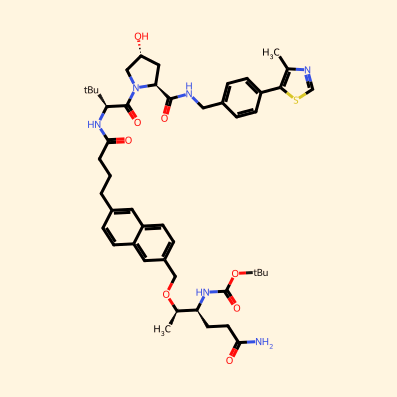 Cc1ncsc1-c1ccc(CNC(=O)[C@@H]2C[C@@H](O)CN2C(=O)[C@@H](NC(=O)CCCc2ccc3cc(CO[C@H](C)[C@H](CCC(N)=O)NC(=O)OC(C)(C)C)ccc3c2)C(C)(C)C)cc1